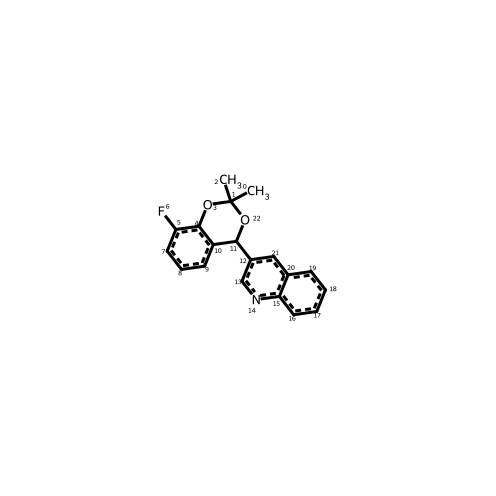 CC1(C)Oc2c(F)cccc2C(c2cnc3ccccc3c2)O1